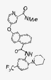 CNC(=O)c1cc(Oc2ccc3c(C(=O)Nc4cc(C(F)(F)F)ccc4N4CCCCC4)cccc3c2)ccn1